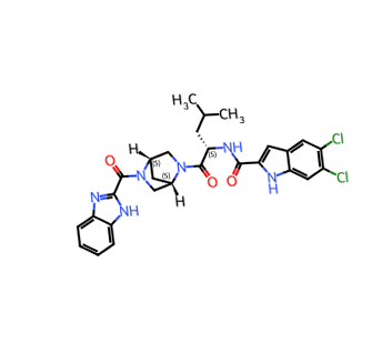 CC(C)C[C@H](NC(=O)c1cc2cc(Cl)c(Cl)cc2[nH]1)C(=O)N1C[C@@H]2C[C@H]1CN2C(=O)c1nc2ccccc2[nH]1